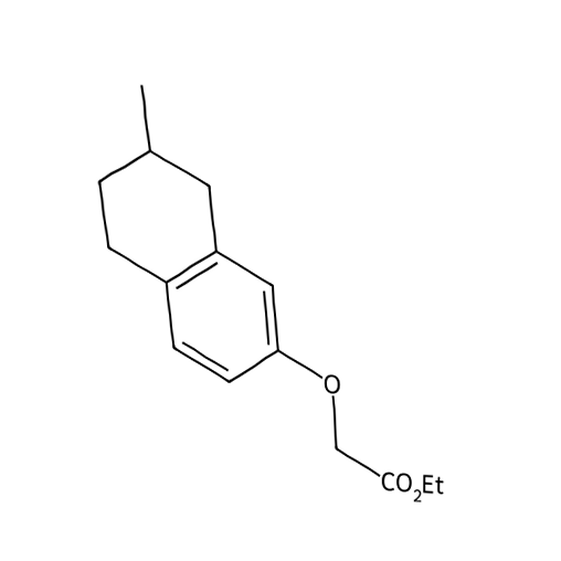 CCOC(=O)COc1ccc2c(c1)CC(C)CC2